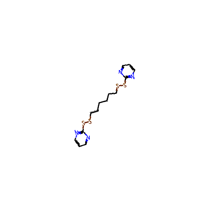 c1cnc(SSCCCCCCSSc2ncccn2)nc1